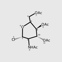 CC(=O)NC1[C@H](Cl)OC(COC(C)=O)[C@@H](OC(C)=O)[C@@H]1OC(C)=O